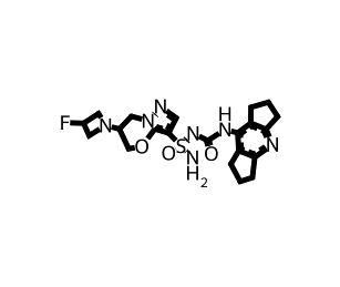 NS(=O)(=NC(=O)Nc1c2c(nc3c1CCC3)CCC2)c1cnn2c1OCC(N1CC(F)C1)C2